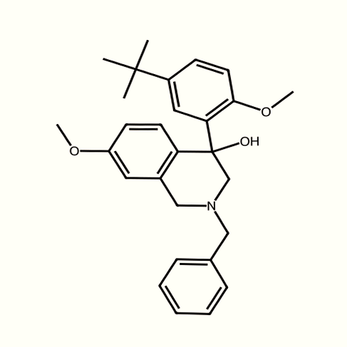 COc1ccc2c(c1)CN(Cc1ccccc1)CC2(O)c1cc(C(C)(C)C)ccc1OC